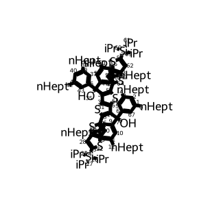 CCCCCCCc1cc(CCCCCCC)cc(C(O)(c2cc(CCCCCCC)cc(CCCCCCC)c2)c2c(-c3cc4sc([Si](C(C)C)(C(C)C)C(C)C)cc4s3)sc3c(C(O)(c4cc(CCCCCCC)cc(CCCCCCC)c4)c4cc(CCCCCCC)cc(CCCCCCC)c4)c(-c4cc5sc([Si](C(C)C)(C(C)C)C(C)C)cc5s4)sc23)c1